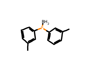 BP(c1cccc(C)c1)c1cccc(C)c1